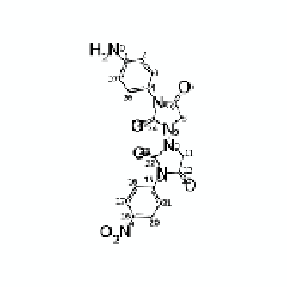 Nc1ccc(N2C(=O)CN(N3CC(=O)N(c4ccc([N+](=O)[O-])cc4)C3=O)C2=O)cc1